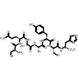 CC(C)C[C@H](NC(=O)[C@H](Cc1ccc(O)cc1)NC(=O)[C@@H](NC(=O)[C@@H](NC(=O)[C@H](CCC(N)=O)NC(=O)[C@@H](N)CC(C)C)C(C)C)C(C)C)C(=O)N[C@@H](Cc1c[nH]cn1)C(=O)O